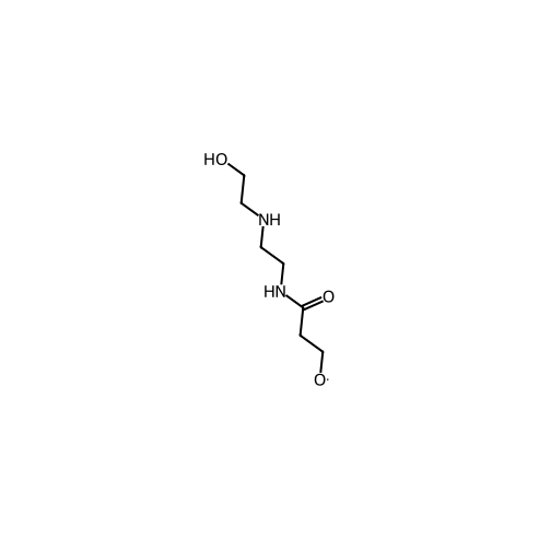 [O]CCC(=O)NCCNCCO